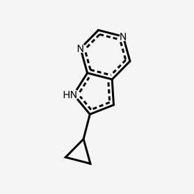 c1ncc2cc(C3CC3)[nH]c2n1